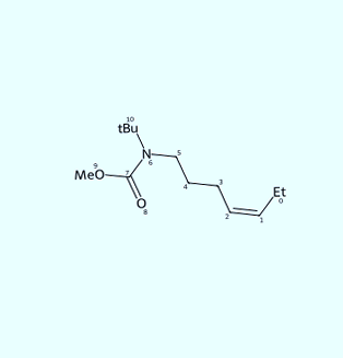 CC/C=C\CCCN(C(=O)OC)C(C)(C)C